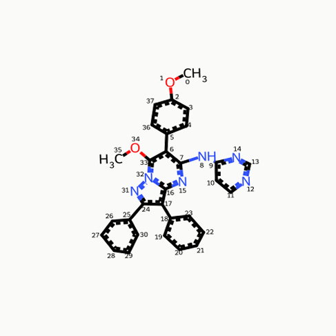 COc1ccc(-c2c(Nc3ccncn3)nc3c(-c4ccccc4)c(-c4ccccc4)nn3c2OC)cc1